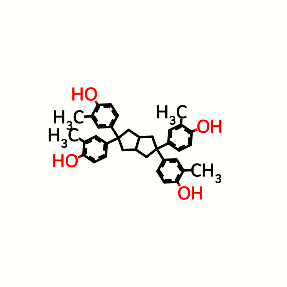 Cc1cc(C2(c3ccc(O)c(C)c3)CC3CC(c4ccc(O)c(C)c4)(c4ccc(O)c(C)c4)CC3C2)ccc1O